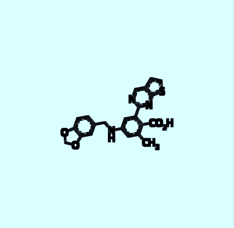 Cc1cc(NCc2ccc3c(c2)OCO3)cc(-c2ncc3ccsc3n2)c1C(=O)O